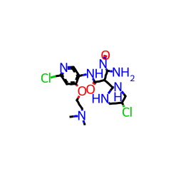 CN(C)CCOc1cc(Cl)ncc1NC(=O)C(C(N)N=O)C1NCC(Cl)CN1